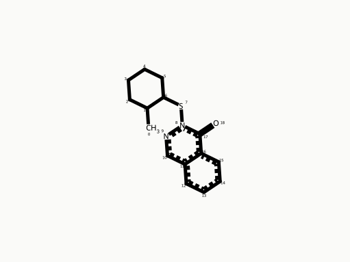 CC1CCCCC1Sn1ncc2ccccc2c1=O